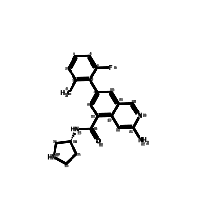 Cc1cccc(F)c1-c1cc(C(=O)N[C@@H]2CCNC2)c2cc(N)ncc2c1